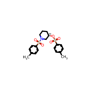 Cc1ccc(S(=O)(=O)O[C@@H]2CCCN(S(=O)(=O)c3ccc(C)cc3)C2)cc1